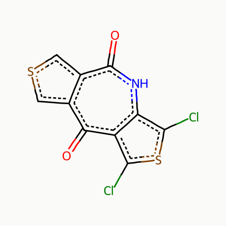 O=c1[nH]c2c(Cl)sc(Cl)c2c(=O)c2cscc12